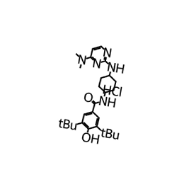 CN(C)c1ccnc(NC2CCC(NC(=O)c3cc(C(C)(C)C)c(O)c(C(C)(C)C)c3)CC2)n1.Cl